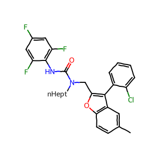 CCCCCCCN(Cc1oc2ccc(C)cc2c1-c1ccccc1Cl)C(=O)Nc1c(F)cc(F)cc1F